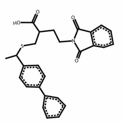 CC(SCC(CCN1C(=O)c2ccccc2C1=O)C(=O)O)c1ccc(-c2ccccc2)cc1